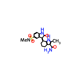 CNS(=O)(=O)c1ccc2c(c1)/C(=C1\CCCc3c1[nH]c(C)c3C(N)=O)C(=O)N2